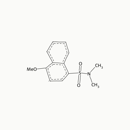 COc1[c]cc(S(=O)(=O)N(C)C)c2ccccc12